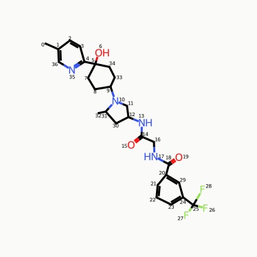 Cc1ccc(C2(O)CCC(N3CC(NC(=O)CNC(=O)c4cccc(C(F)(F)F)c4)CC3C)CC2)nc1